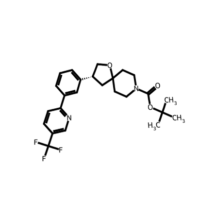 CC(C)(C)OC(=O)N1CCC2(CC1)C[C@H](c1cccc(-c3ccc(C(F)(F)F)cn3)c1)CO2